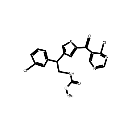 CC(C)(C)OC(=O)NCC(c1cccc(Cl)c1)c1csc(C(=O)c2cncnc2Cl)c1